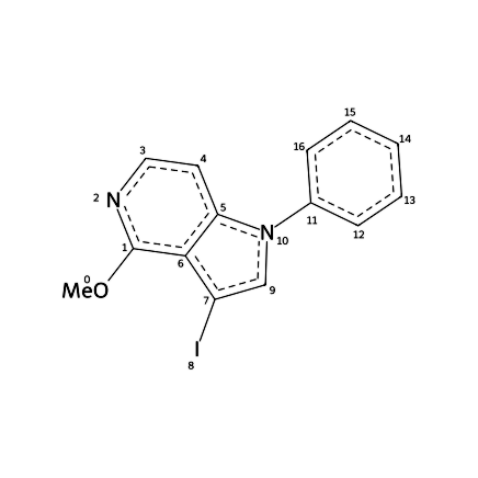 COc1nccc2c1c(I)cn2-c1ccccc1